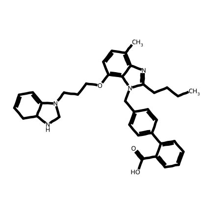 CCCCc1nc2c(C)ccc(OCCCN3CNC4CC=CC=C43)c2n1Cc1ccc(-c2ccccc2C(=O)O)cc1